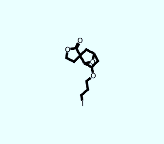 O=C1OCCC12CC1CC(OCCCI)C2O1